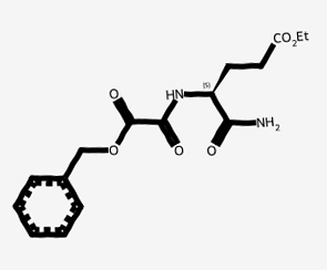 CCOC(=O)CC[C@H](NC(=O)C(=O)OCc1ccccc1)C(N)=O